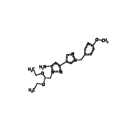 CCOC(Cn1nc(-c2cnn(Cc3ccc(OC)cc3)c2)cc1N)OCC